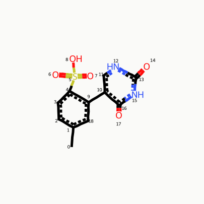 Cc1ccc(S(=O)(=O)O)c(-c2c[nH]c(=O)[nH]c2=O)c1